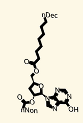 CCCCCCCCCCCCCCCCCC(=O)OC[C@@H]1C[C@@H](OC(=O)CCCCCCCCC)[C@H](n2cnc3c(O)ncnc32)O1